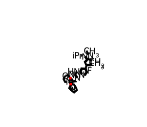 C=c1nc(C)n(C(C)C)/c1=C/C(=C\C)c1cc(Nc2ncc(CN3C4CCC3CC(N3CCOCC3)C4)cn2)ncc1F